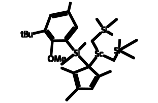 COc1c(C(C)(C)C)cc(C)cc1[Si](C)(C)[C]1([Sc]([CH2][Si](C)(C)C)[CH2][Si](C)(C)C)C(C)=CC(C)=C1C